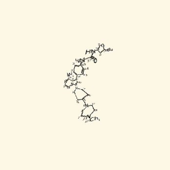 CN1CCN(C2CCC(c3cc(-c4ccc(NC(=O)Nc5coc(C(C)(C)C)c5)cc4)c4c(N)ncnn34)CC2)CC1